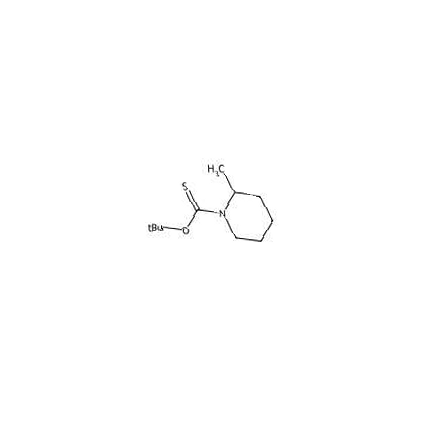 CC1CCCCN1C(=S)OC(C)(C)C